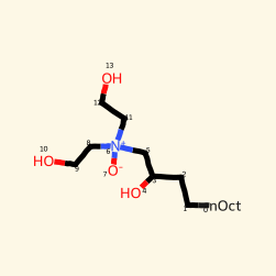 CCCCCCCCCCC(O)C[N+]([O-])(CCO)CCO